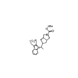 Cc1c(CC(=O)O)c2ccccc2n1C(C)C1CC2CN(C(=O)OC(C)(C)C)CC2C1